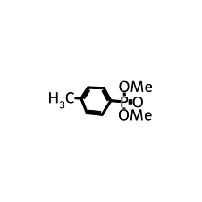 COP(=O)(OC)c1ccc(C)cc1